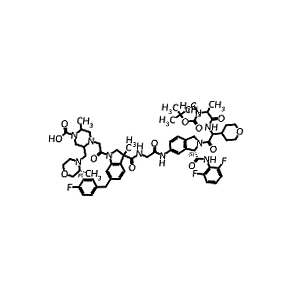 CC(C(=O)NC(C(=O)N1Cc2ccc(NC(=O)CNC(=O)C3(C)CN(C(=O)CN4CC(C)N(C(=O)O)CC4CN4CCOC[C@H]4C)c4cc(Cc5ccc(F)cc5)ccc43)cc2[C@H]1C(=O)Nc1c(F)cccc1F)C1CCOCC1)N(C)C(=O)OC(C)(C)C